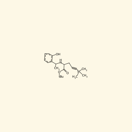 CC(NC(CC#C[Si](C)(C)C)C(=O)OC(C)(C)C)c1ccccc1O